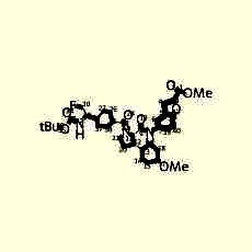 COC(=O)c1cc2cc(NC(=O)[C@@H]3[C@H](C4CCC(OC)CC4)CCN3C(=O)[C@H]3CC[C@H]([C@@H](CF)NC(=O)OC(C)(C)C)CC3)ccc2o1